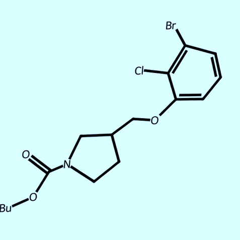 CC(C)(C)OC(=O)N1CCC(COc2cccc(Br)c2Cl)C1